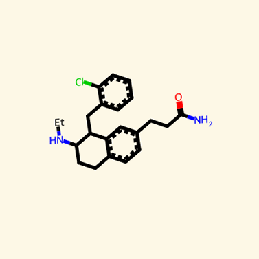 CCNC1CCc2ccc(CCC(N)=O)cc2C1Cc1ccccc1Cl